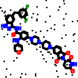 O=C1CCC(N2C(=O)c3ccc(N4CCC(N5CCN(c6ccc(C(=O)Nc7n[nH]c8ccc(Cc9cc(F)cc(F)c9)cc78)c(NC7CCOCC7)c6)CC5)CC4)cc3C2=O)C(=O)N1